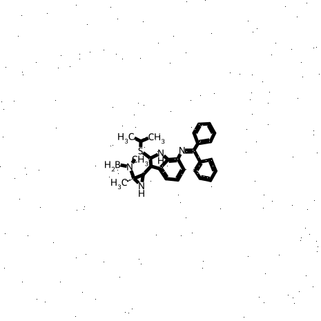 BN(C)[C@]1(C)NC1C1c2cccc(N=C(c3ccccc3)c3ccccc3)c2NC1SC(C)C